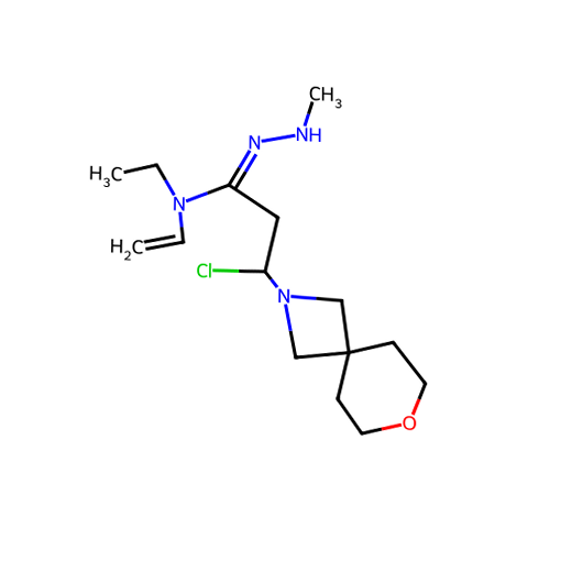 C=CN(CC)/C(CC(Cl)N1CC2(CCOCC2)C1)=N/NC